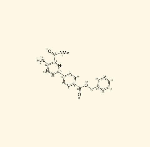 CNC(=O)c1nc(-c2ccc(C(=O)OCc3ccccc3)cc2)cnc1N